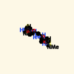 CN[C@@H](C)C(=S)N[C@H]1CCS[C@H]2CC(C)(C)[C@@H](C(=O)NC3c4ccccc4C[C@H]3C(=O)NCc3ccc(CNC(=O)[C@@H]4Cc5ccccc5[C@@H]4NC(=O)[C@H]4N5C(=O)[C@@H](NC(=S)[C@H](C)NC)CCS[C@H]5CC4(C)C)cc3)N2C1=O